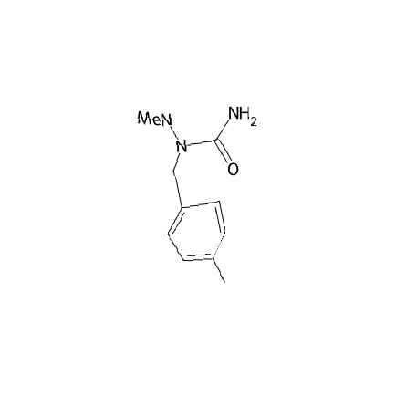 CNN(Cc1ccc(C)cc1)C(N)=O